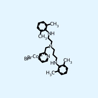 Cc1cccc(C)c1NCCCN(CCNc1c(C)cccc1C)Cc1ccccn1.[Br-].[Br-].[Co+2]